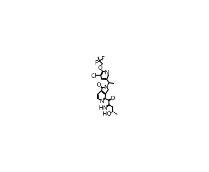 CC(c1cnc(OCC(C)(F)F)c(Cl)c1)N1Cc2c(ccnc2C(=O)C(=N)C[C@@H](C)O)C1=O